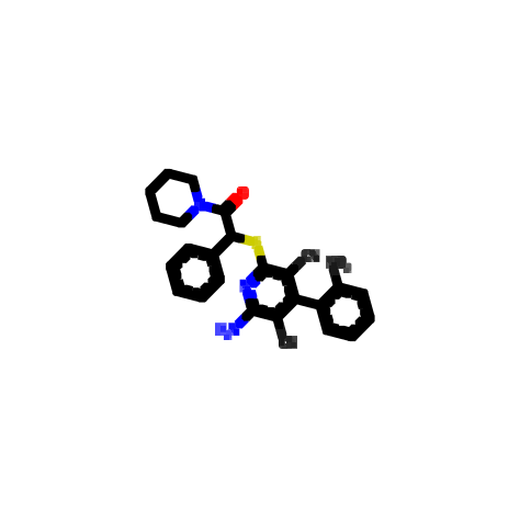 N#Cc1c(N)nc(SC(C(=O)N2CCCCC2)c2ccccc2)c(C#N)c1-c1ccccc1[N+](=O)[O-]